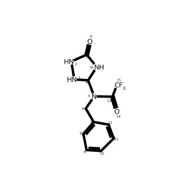 O=C1NNC(N(Cc2ccccc2)C(=O)C(F)(F)F)N1